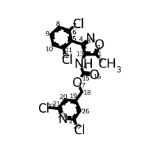 Cc1onc(-c2c(Cl)cccc2Cl)c1NC(=O)OCc1cc(Cl)nc(Cl)c1